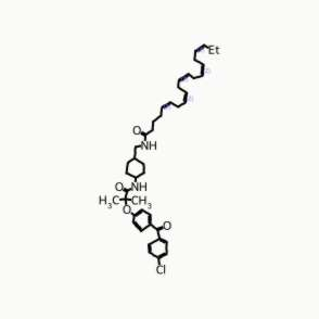 CC/C=C\C/C=C\C/C=C\C/C=C\C/C=C\CCCC(=O)NCC1CCC(NC(=O)C(C)(C)Oc2ccc(C(=O)c3ccc(Cl)cc3)cc2)CC1